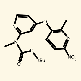 Cc1nc([N+](=O)[O-])ccc1Oc1ccnc(N(C)C(=O)OC(C)(C)C)c1